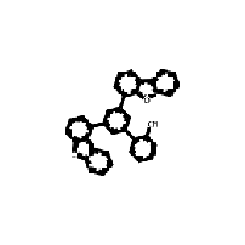 N#Cc1ccccc1-c1cc(-c2cccc3c2oc2ccccc23)cc(-c2cccc3oc4ccccc4c23)c1